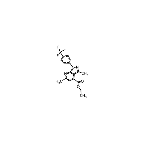 CCOC(=O)c1cc(C)nc2c1c(C)nn2-c1ccc(C(F)(F)F)cc1